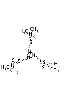 CCN(CC)C(=S)SSCCCN1CN(CCCSSC(=S)N(CC)CC)CN(CCCSSC(=S)N(CC)CC)C1